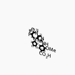 COC1=CC(C(=O)O)CC=C1Nc1ncc2c(n1)N(C1CCCC1)CC(F)(F)C(=O)N2C